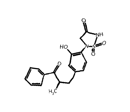 CC(Cc1ccc(N2CC(=O)NS2(=O)=O)c(O)c1)C(=O)c1ccccc1